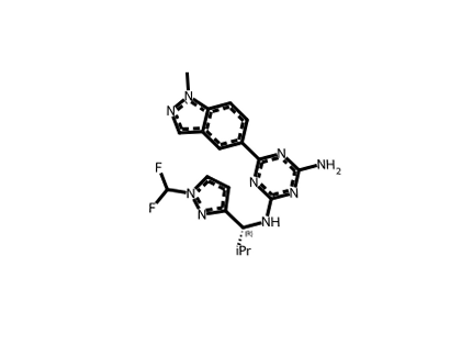 CC(C)[C@@H](Nc1nc(N)nc(-c2ccc3c(cnn3C)c2)n1)c1ccn(C(F)F)n1